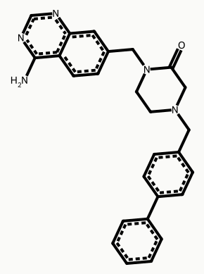 Nc1ncnc2cc(CN3CCN(Cc4ccc(-c5ccccc5)cc4)CC3=O)ccc12